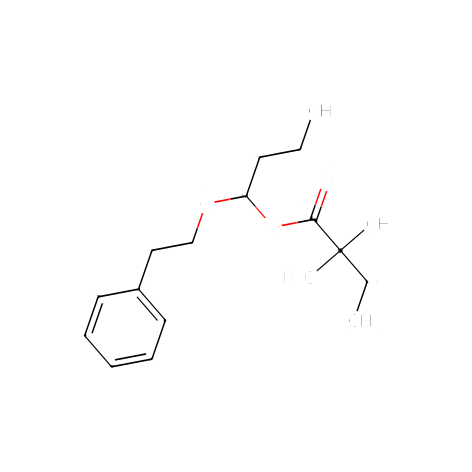 CCCC(OCCc1ccccc1)OC(=O)C(C)(C)CC